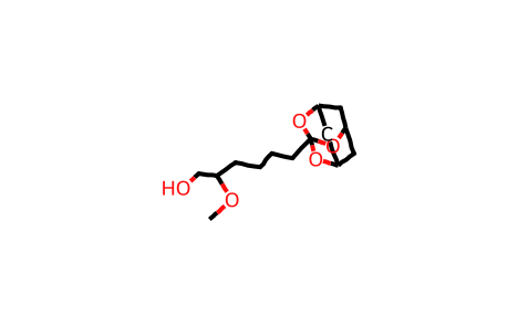 COC(CO)CCCCC12OC3CC(CC(C3)O1)O2